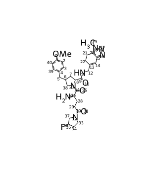 COc1ccc(CC2CC(C(=O)NCC3=Cc4nnn(C)c4CC3)N(C(=O)C(N)CCC(=O)N3CCC(F)C3)C2)cc1